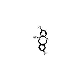 CC(=O)N1Cc2ccc(Br)cc2COc2ccc(Cl)cc21